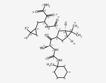 CC1(NC(=O)N[C@H](C(=O)N2C[C@H]3[C@@H]([C@H]2C(=O)NC(CC2CC2(F)F)C(=O)C(N)=O)C3(C)C)C(C)(C)C)CCCCC1